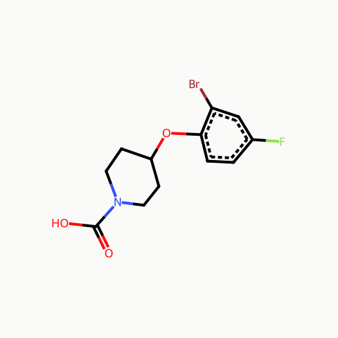 O=C(O)N1CCC(Oc2ccc(F)cc2Br)CC1